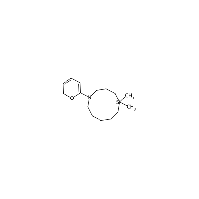 C[Si]1(C)CCCCCN(C2=CC=CCO2)CCC1